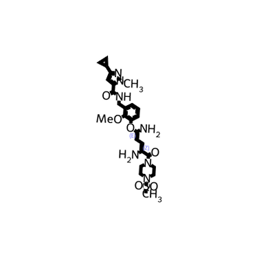 COc1c(CNC(=O)c2cc(C3CC3)nn2C)cccc1O/C(N)=C/C=C(\N)C(=O)N1CCN(S(C)(=O)=O)CC1